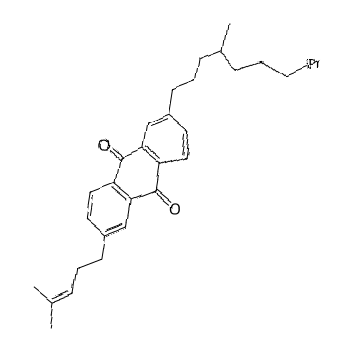 CC(C)=CCCc1ccc2c(c1)C(=O)c1ccc(CCCC(C)CCCC(C)C)cc1C2=O